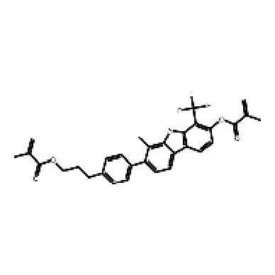 C=C(C)C(=O)OCCCc1ccc(-c2ccc3c(sc4c(C(F)(F)F)c(OC(=O)C(=C)C)ccc43)c2C)cc1